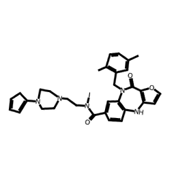 Cc1ccc(C)c(CN2C(=O)c3occc3Nc3ccc(C(=O)N(I)CCN4CCN(C5=CC=CC5)CC4)cc32)c1